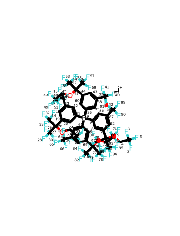 FC(F)(F)COC(c1cc([B-](c2cc(C(F)(F)F)cc(C(OCC(F)(F)F)(C(F)(F)F)C(F)(F)F)c2)(c2cc(C(F)(F)F)cc(C(OCC(F)(F)F)(C(F)(F)F)C(F)(F)F)c2)c2cc(C(F)(F)F)cc(C(OCC(F)(F)F)(C(F)(F)F)C(F)(F)F)c2)cc(C(F)(F)F)c1)(C(F)(F)F)C(F)(F)F.[Li+]